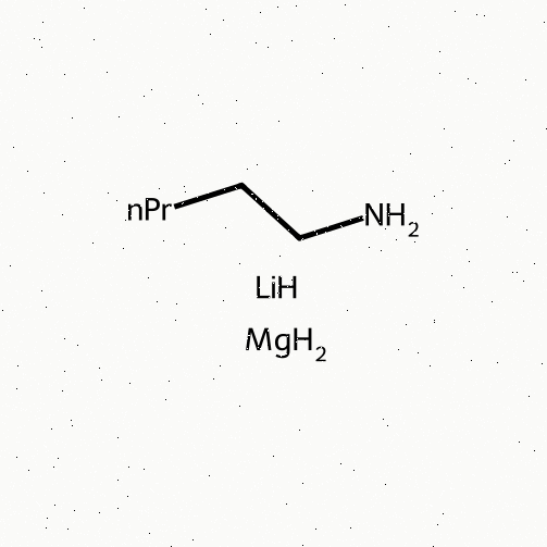 CCCCCN.[LiH].[MgH2]